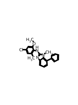 COc1cc(Cl)cc(C)c1Nc1nc2cccc(-c3ccccc3)c2n1C